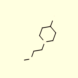 CCOCCN1CCC(F)CC1